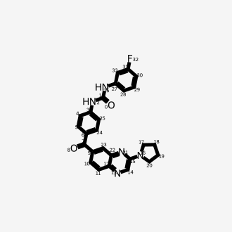 O=C(Nc1ccc(C(=O)c2ccc3ncc(N4CCCC4)nc3c2)cc1)Nc1cccc(F)c1